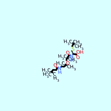 CC(C)(C)CCC(=O)NCCC(C)(C)OCC(C)(C)C(=O)N[C@@H](CSCC(C)(C)C)C(=O)O